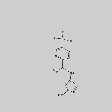 CC(Nc1cnn(C)c1)c1ccc(C(F)(F)F)cn1